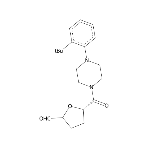 CC(C)(C)c1ccccc1N1CCN(C(=O)[C@@H]2CCC(C=O)O2)CC1